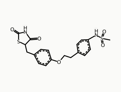 CS(=O)(=O)Nc1ccc(CCOc2ccc(CC3SC(=O)NC3=O)cc2)cc1